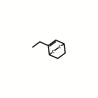 CCC1=CC2CCC1CC2